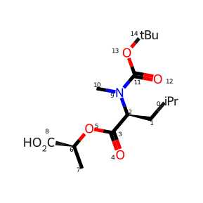 CC(C)C[C@@H](C(=O)O[C@@H](C)C(=O)O)N(C)C(=O)OC(C)(C)C